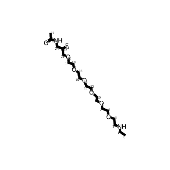 CCNCCOCCOCCOCCOCCOCCOCC(F)CNC(C)=O